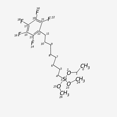 CCO[Si](CCCCCCCCc1c(F)c(F)c(F)c(F)c1F)(OC)OC